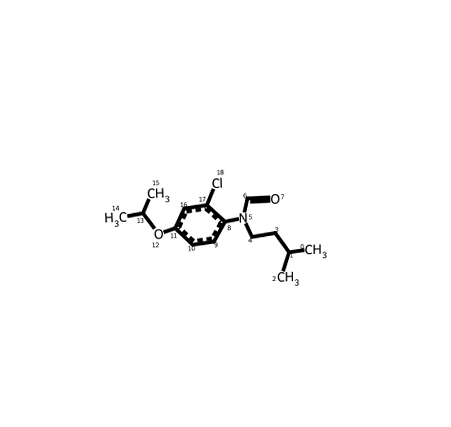 CC(C)CCN(C=O)c1ccc(OC(C)C)cc1Cl